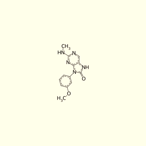 CNc1ncc2[nH]c(=O)n(-c3cccc(OC)c3)c2n1